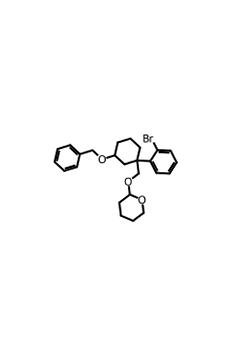 Brc1ccccc1C1(COC2CCCCO2)CCCC(OCc2ccccc2)C1